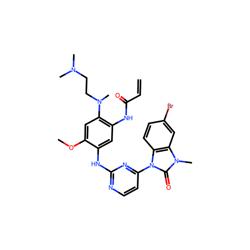 C=CC(=O)Nc1cc(Nc2nccc(-n3c(=O)n(C)c4cc(Br)ccc43)n2)c(OC)cc1N(C)CCN(C)C